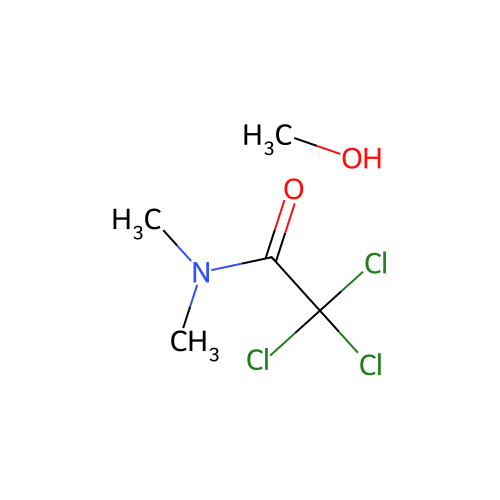 CN(C)C(=O)C(Cl)(Cl)Cl.CO